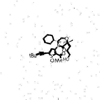 COC(=O)c1sc(C#CC(C)(C)C)cc1N1C(=O)[C@@](C)(CCCO)OC[C@H]1C1CCCCC1